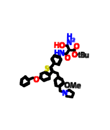 COc1cc(Cc2c(-c3ccc(NC(=O)C(C(=O)OC(C)(C)C)C(N)O)cc3)sc3cc(OCc4ccccc4)ccc23)ccc1CN1CCCC1